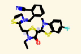 CCn1c(=O)/c(=C2\Sc3cc(F)ccc3N2C)s/c1=C\c1scc[n+]1Cc1ccccc1C#N